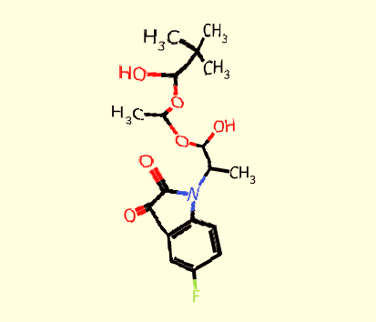 CC(OC(O)C(C)N1C(=O)C(=O)c2cc(F)ccc21)OC(O)C(C)(C)C